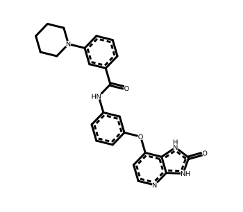 O=C(Nc1cccc(Oc2ccnc3[nH]c(=O)[nH]c23)c1)c1cccc(N2CCCCC2)c1